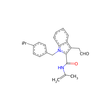 C=C(C)NC(=O)c1c(CC=O)c2ccccc2n1Cc1ccc(C(C)C)cc1